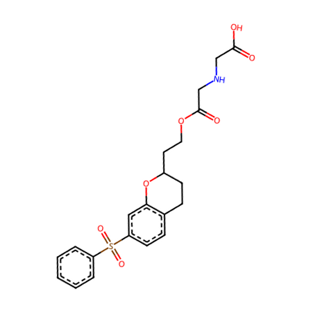 O=C(O)CNCC(=O)OCCC1CCc2ccc(S(=O)(=O)c3ccccc3)cc2O1